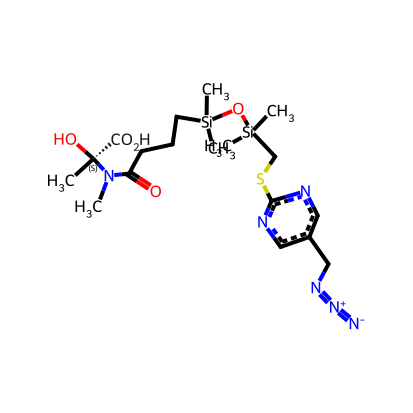 CN(C(=O)CCC[Si](C)(C)O[Si](C)(C)CSc1ncc(CN=[N+]=[N-])cn1)[C@@](C)(O)C(=O)O